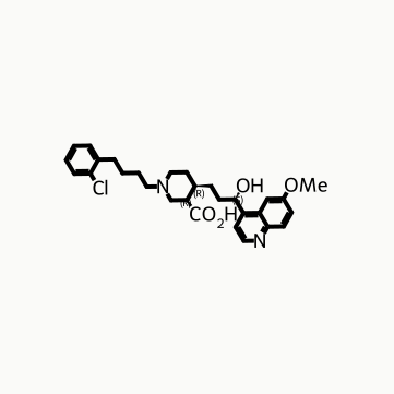 COc1ccc2nccc([C@@H](O)CC[C@@H]3CCN(CCCCc4ccccc4Cl)C[C@@H]3C(=O)O)c2c1